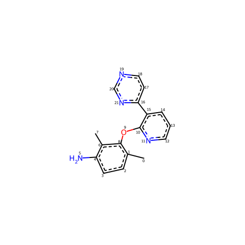 Cc1ccc(N)c(C)c1Oc1ncccc1-c1ccncn1